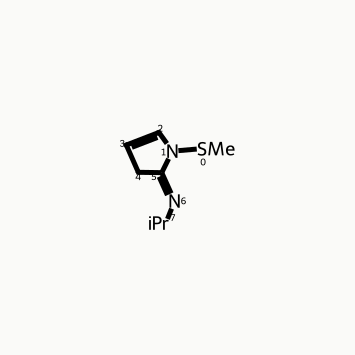 CSN1C=CC/C1=N\C(C)C